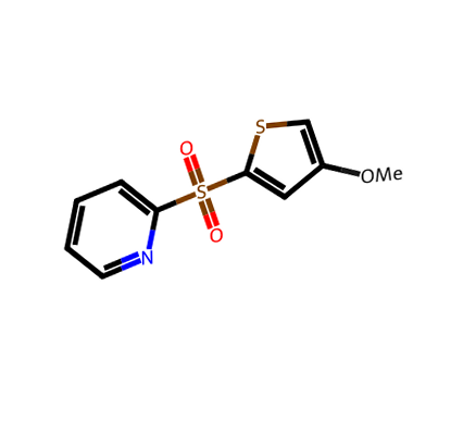 COc1csc(S(=O)(=O)c2ccccn2)c1